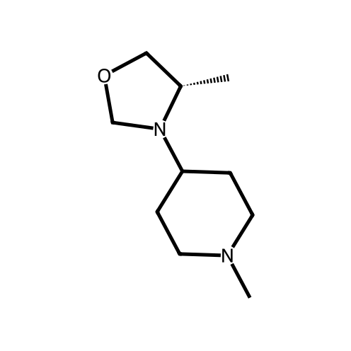 C[C@H]1COCN1C1CCN(C)CC1